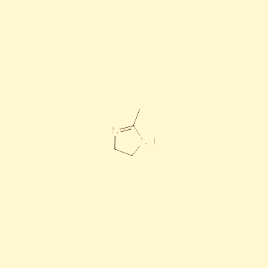 CC1=NC[CH]N1